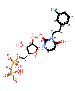 O=c1ccn([C@@H]2O[C@H](COP(=O)(O)OP(=O)(O)O)[C@H](O)C2O)c(=O)n1CCc1cccc(Cl)c1